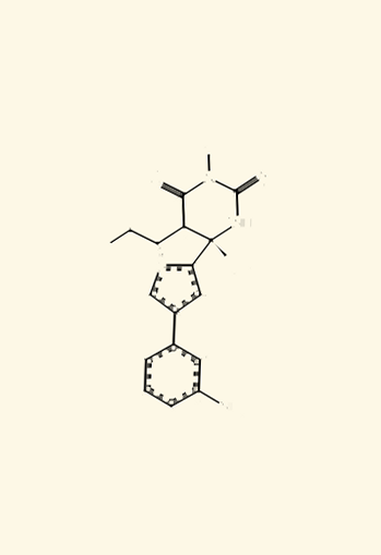 CN1C(=N)N[C@](C)(c2cc(-c3cccc(N)c3)cs2)C(CCO)C1=O